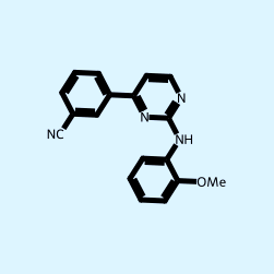 COc1ccccc1Nc1nccc(-c2cccc(C#N)c2)n1